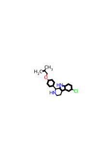 C=C(C)COc1ccc(C2NCCc3c2[nH]c2ccc(Cl)cc32)cc1